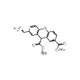 C=Cc1ccc2c(c1)C(C(=O)OC(C)(C)C)c1cc(C(=O)OC)ccc1O2